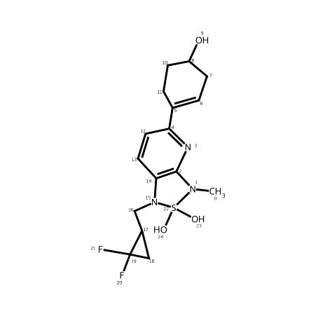 CN1c2nc(C3=CCC(O)CC3)ccc2N(CC2CC2(F)F)S1(O)O